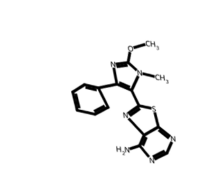 COc1nc(-c2ccccc2)c(-c2nc3c(N)ncnc3s2)n1C